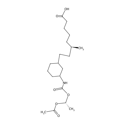 CC(=O)O[C@@H](C)OC(=O)NC1CCCC(CC[C@H](C)CCCCC(=O)O)C1